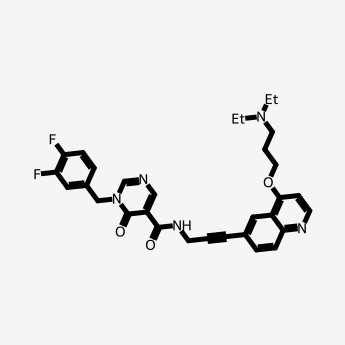 CCN(CC)CCCOc1ccnc2ccc(C#CCNC(=O)c3cncn(Cc4ccc(F)c(F)c4)c3=O)cc12